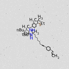 C=C=Cc1ccc(C#CCCCCCCC(=C)NC(C(CC(C)CCCC)NC(C)c2ccc(C(SCC)=C(C)C)cc2)C(C)(C)C)cc1